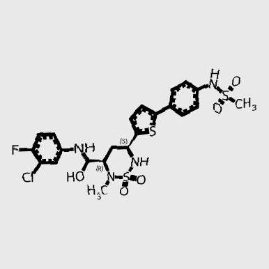 CN1[C@@H](C(O)Nc2ccc(F)c(Cl)c2)C[C@@H](c2ccc(-c3ccc(NS(C)(=O)=O)cc3)s2)NS1(=O)=O